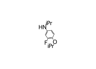 CC(C)Nc1ccc(OC(C)C)c(F)c1